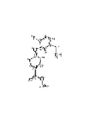 CC(C)(C)OC(=O)N1CCC(Oc2nc(CO)ccc2F)CC1